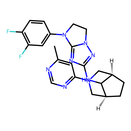 Cc1cc(N2C[C@H]3CC[C@@H](C2)C3Nc2nc3n(n2)CCN3c2ccc(F)c(F)c2)ncn1